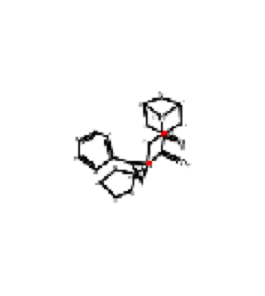 O=C(C1CC1c1ccccc1)N1CC2CC(C1)N2C(=O)CSC1CCCC1